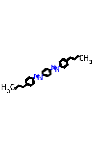 CCCCc1ccc(N=Nc2ccc(N=Nc3ccc(CCCC)cc3)cc2)cc1